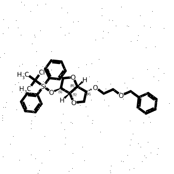 CC(C)(C)[Si](O[C@H]1CO[C@H]2[C@@H]1OC[C@H]2OCCOCc1ccccc1)(c1ccccc1)c1ccccc1